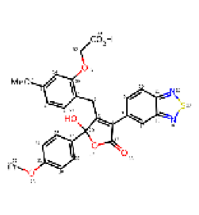 COc1ccc(CC2=C(c3ccc4nsnc4c3)C(=O)OC2(O)c2ccc(OC(C)C)cc2)c(OCC(=O)O)c1